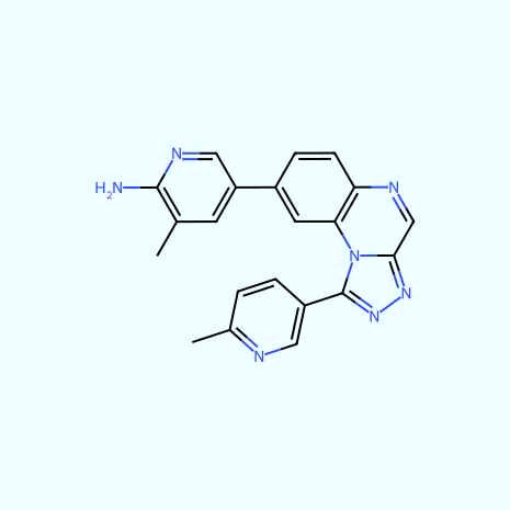 Cc1ccc(-c2nnc3cnc4ccc(-c5cnc(N)c(C)c5)cc4n23)cn1